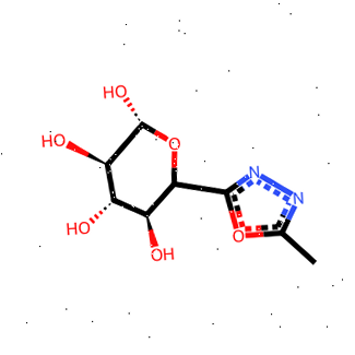 Cc1nnc(C2O[C@@H](O)[C@H](O)[C@@H](O)[C@@H]2O)o1